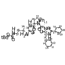 CC(C)C[C@H](NC(=O)[C@H](Cc1ccccc1)NC(=O)c1ccccc1)C(=O)N1CCC[C@H]1C(=O)N[C@@H](CCCCNC(=O)OC(C)(C)C)C(N)=O